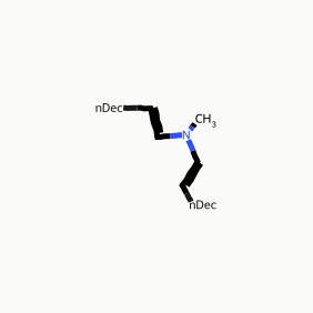 CCCCCCCCCC/C=C/N(C)/C=C/CCCCCCCCCC